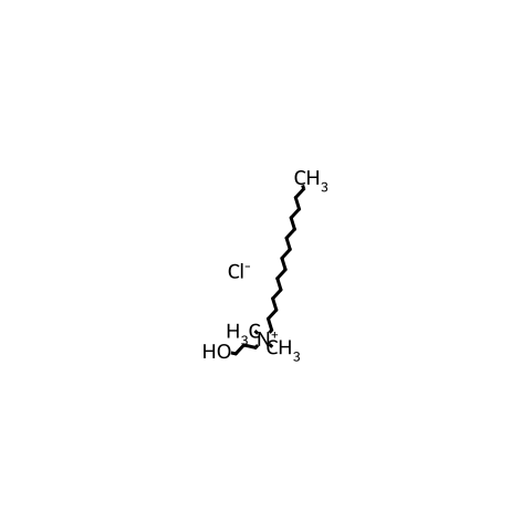 CCCCCCCCCCCCCCCC[N+](C)(C)CCCO.[Cl-]